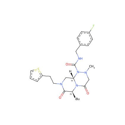 CCC(C)[C@H]1C(=O)N(CCc2cccs2)C[C@H]2N1C(=O)CN(C)N2C(=O)NCc1ccc(F)cc1